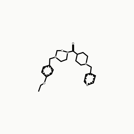 CCOc1ccc(CN2CCN(C(=O)C3CCN(Cc4ccncc4)CC3)CC2)cc1